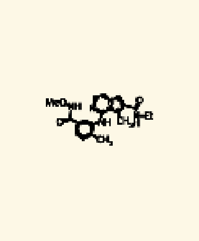 CCNC(=O)c1cn2ccnc(Nc3cc(C(=O)NOC)ccc3C)c2c1C